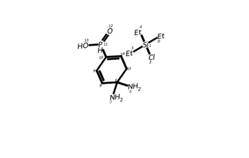 CC[Si](Cl)(CC)CC.NC1(N)C=CC([PH](=O)O)=CC1